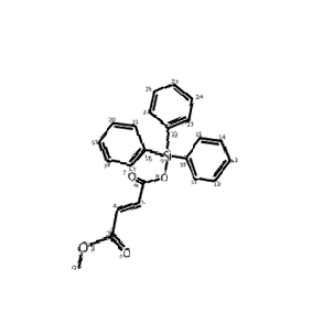 COC(=O)C=CC(=O)O[Si](c1ccccc1)(c1ccccc1)c1ccccc1